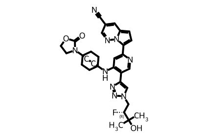 CC(C)(O)[C@H](F)Cn1cc(-c2cnc(-c3ccc4cc(C#N)cnn34)cc2NC23CCC(N4CCOC4=O)(CC2)CC3)nn1